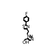 OCc1cnnn1CCc1csc(-c2ccc(F)cc2)n1